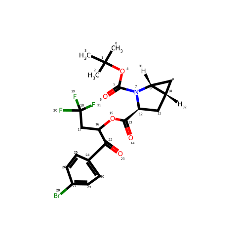 CC(C)(C)OC(=O)N1[C@@H]2C[C@@H]2C[C@H]1C(=O)OC(CC(F)(F)F)C(=O)c1ccc(Br)cc1